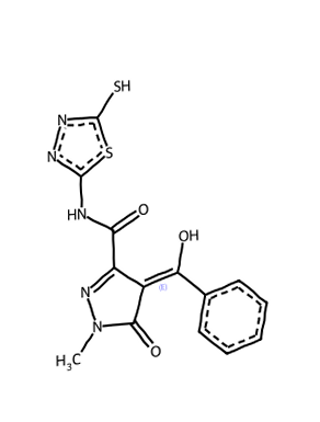 CN1N=C(C(=O)Nc2nnc(S)s2)/C(=C(\O)c2ccccc2)C1=O